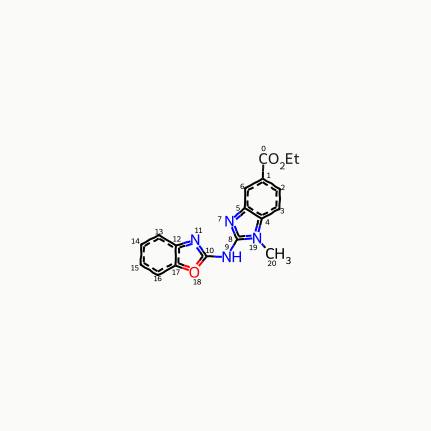 CCOC(=O)c1ccc2c(c1)nc(Nc1nc3ccccc3o1)n2C